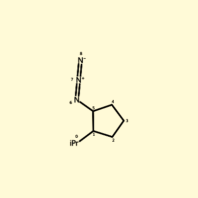 CC(C)C1CCCC1N=[N+]=[N-]